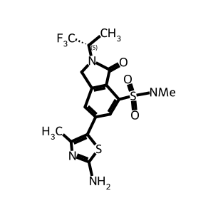 CNS(=O)(=O)c1cc(-c2sc(N)nc2C)cc2c1C(=O)N([C@@H](C)C(F)(F)F)C2